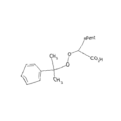 CCCCCC(OOC(C)(C)c1ccccc1)C(=O)O